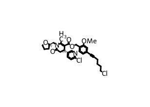 COc1cc(C#CCCCCCl)ccc1COC(=O)C1=C(C)N(C[C@H]2CCCO2)C(=O)C[C@H]1c1ccc(Cl)nc1